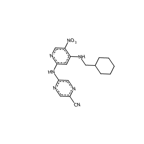 N#Cc1cnc(Nc2cc(NCC3CCCCC3)c([N+](=O)[O-])cn2)cn1